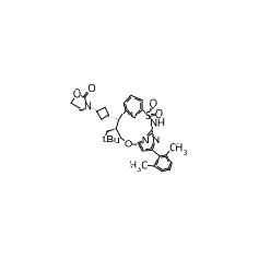 Cc1cccc(C)c1-c1cc2nc(n1)NS(=O)(=O)c1cccc(c1)C([C@H]1C[C@@H](N3CCOC3=O)C1)[C@H](CC(C)(C)C)CO2